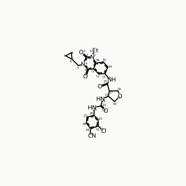 CCn1c(=O)n(CC2CC2)c(=O)c2cc(NC(=O)C3COCC3NC(=O)Nc3ccc(C#N)c(Cl)c3)ccc21